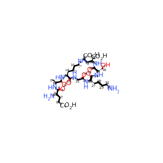 C[C@H](NC(=O)[C@@H](N)CCC(=O)O)C(=O)N[C@@H](CCCCN)C(=O)NCC(=O)N[C@@H](CCCCN)C(=O)N[C@@H](CO)C(=O)N[C@@H](CCC(=O)O)C(=O)O